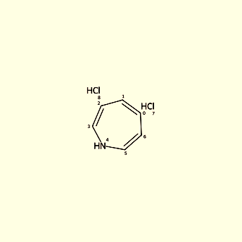 C1=CC=CNC=C1.Cl.Cl